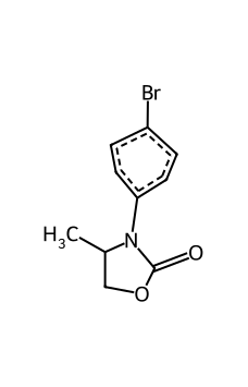 CC1COC(=O)N1c1ccc(Br)cc1